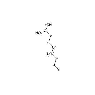 CCC[SiH2]OCCC(O)O